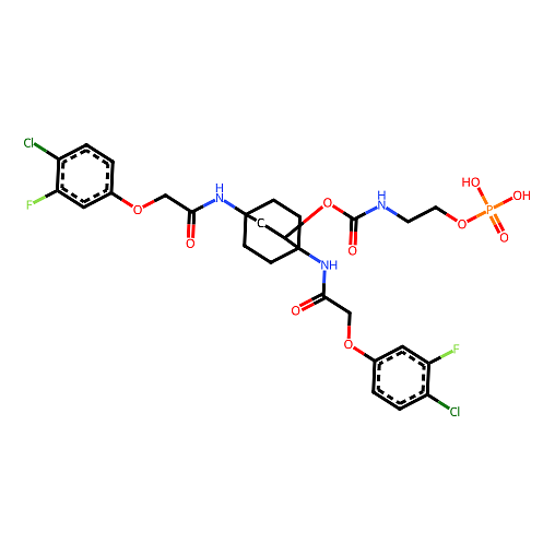 O=C(COc1ccc(Cl)c(F)c1)NC12CCC(NC(=O)COc3ccc(Cl)c(F)c3)(CC1)C(OC(=O)NCCOP(=O)(O)O)C2